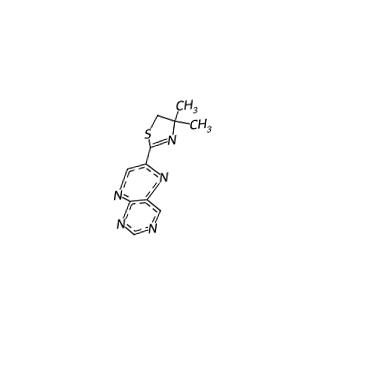 CC1(C)CSC(c2cnc3ncncc3n2)=N1